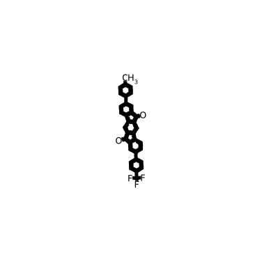 Cc1ccc(-c2ccc3c(c2)c(=O)c2cc4c(cc23)c(=O)c2cc(-c3ccc(C(F)(F)F)cc3)ccc24)cc1